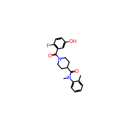 Cc1ccccc1N(C)C(=O)C1CCN(C(=O)c2cc(O)ccc2F)CC1